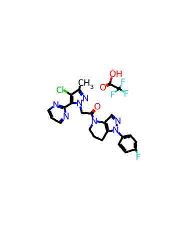 Cc1nn(CC(=O)N2CCCc3c2cnn3-c2ccc(F)cc2)c(-c2ncccn2)c1Cl.O=C(O)C(F)(F)F